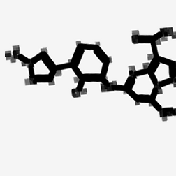 CNc1cc(Nc2cccc(-c3cnn(C)c3)c2Cl)nc2c(C(N)=O)cnn12